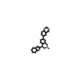 CN1Cc2cc(-c3ccc4ncncc4c3)ccc2C(c2cc3ccccc3o2)C1